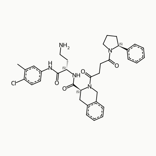 Cc1cc(NC(=O)[C@H](CCN)NC(=O)[C@@H]2Cc3ccccc3CN2C(=O)CCC(=O)N2CCC[C@H]2c2ccccc2)ccc1Cl